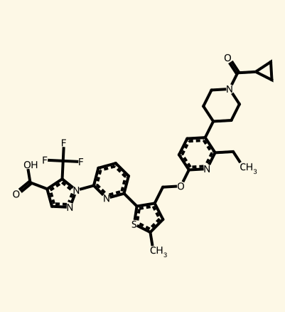 CCc1nc(OCc2cc(C)sc2-c2cccc(-n3ncc(C(=O)O)c3C(F)(F)F)n2)ccc1C1CCN(C(=O)C2CC2)CC1